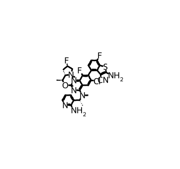 C[C@H](Oc1nc(N(C)[C@H](C)c2cccnc2N)c2cc(Cl)c(-c3ccc(F)c4sc(N)c(C#N)c34)c(F)c2n1)[C@@H]1C[C@@H](F)CN1C